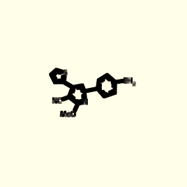 Bc1ccc(-c2cc(-c3cccs3)c(C#N)c(OC)n2)cc1